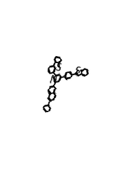 c1ccc(-c2ccc3cc(-c4cc(-c5ccc(-c6cc7ccccc7s6)cc5)cc(-c5cccc6c5sc5ccccc56)n4)ccc3c2)cc1